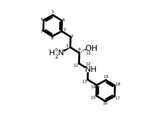 N[C@@H](Cc1ccccc1)[C@H](O)CNCc1ccccc1